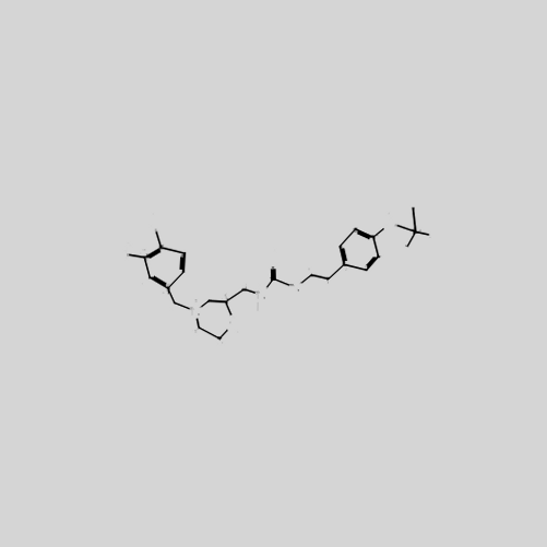 CC(C)(C)Oc1ccc(CCNC(=O)NCC2CN(Cc3ccc(Cl)c(Cl)c3)CCO2)cc1